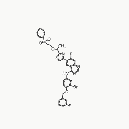 CC(OCCS(=O)(=O)c1ccccc1)c1nc(-c2cc3c(Nc4ccc(OCc5cccc(F)c5)c(Br)c4)ncnc3cc2F)cs1